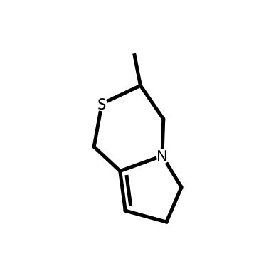 CC1CN2CCC=C2CS1